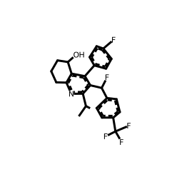 CC(C)c1nc2c(c(-c3ccc(F)cc3)c1C(F)c1ccc(C(F)(F)F)cc1)C(O)CCC2